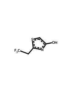 Oc1csc(CC(F)(F)F)n1